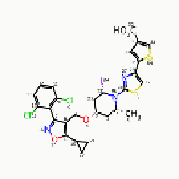 C[C@@H]1C[C@H](OCc2c(-c3c(Cl)cccc3Cl)noc2C2CC2)C[C@H](I)N1c1nc(-c2cc(C(=O)O)cs2)cs1